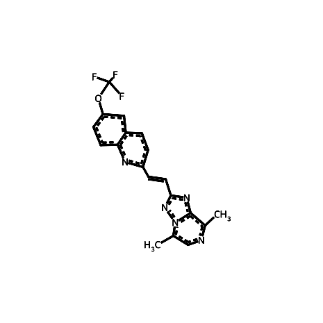 Cc1ncc(C)n2nc(/C=C/c3ccc4cc(OC(F)(F)F)ccc4n3)nc12